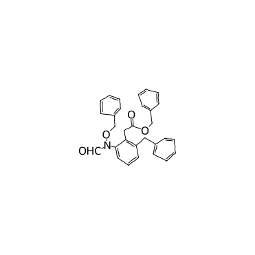 O=CN(OCc1ccccc1)c1cccc(Cc2ccccc2)c1CC(=O)OCc1ccccc1